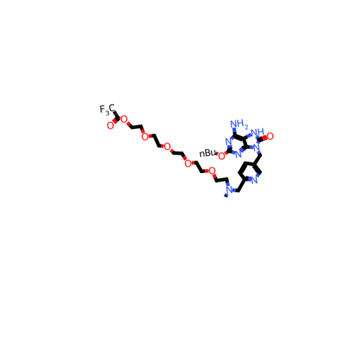 CCCCOc1nc(N)c2[nH]c(=O)n(Cc3ccc(CN(C)CCOCCOCCOCCOCCOC(=O)C(F)(F)F)nc3)c2n1